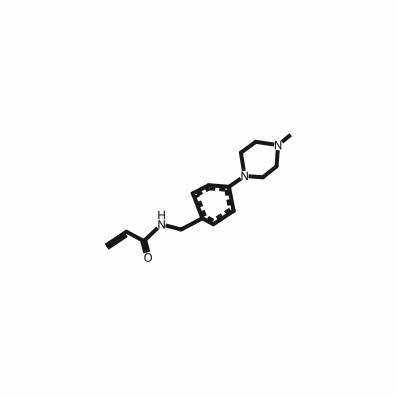 C=CC(=O)NCc1ccc(N2CCN(C)CC2)cc1